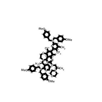 COc1ccc(CN(Cc2ccc(OC)cc2)c2cc(C)c(C(F)(F)F)c(-c3c(Cl)c4c5c(nc(OC[C@@H](C)N6CCOCC6)nc5c3F)N([C@H](C)c3cccnc3N(Cc3ccc(OC)cc3)Cc3ccc(OC)cc3)CCO4)n2)cc1